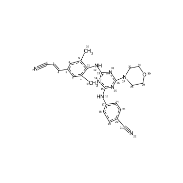 Cc1cc(C=CC#N)cc(C)c1Nc1nc(Nc2ccc(C#N)cc2)nc(N2CCOCC2)n1